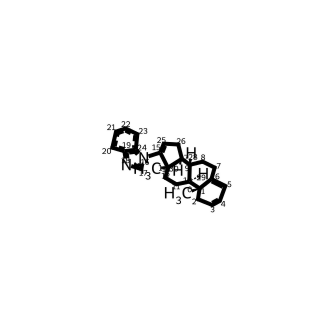 C[C@]12CC=CC=C1CC[C@@H]1[C@@H]2CC[C@]2(C)C(n3cnc4ccccc43)=CC[C@@H]12